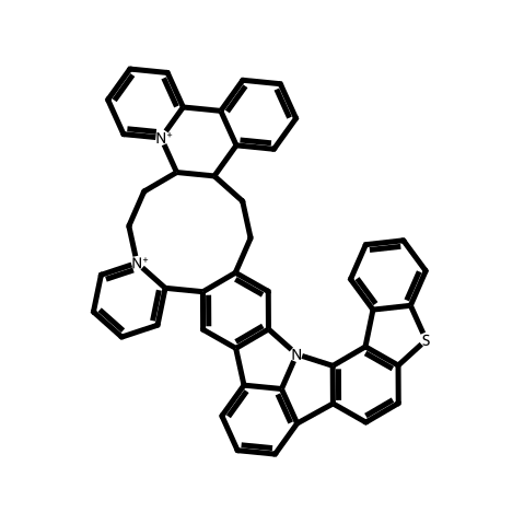 c1ccc2c(c1)-c1cccc[n+]1C1CC[n+]3ccccc3-c3cc4c5cccc6c7ccc8sc9ccccc9c8c7n(c4cc3CCC21)c56